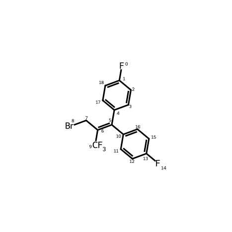 Fc1ccc(C(=C(CBr)C(F)(F)F)c2ccc(F)cc2)cc1